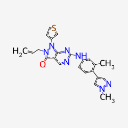 C=CCn1c(=O)c2cnc(Nc3ccc(-c4cnn(C)c4)c(C)c3)nc2n1-c1ccsc1